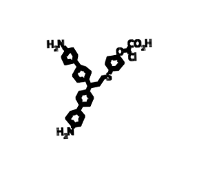 Nc1ccc(-c2ccc(C(=CCSc3ccc(OC(Cl)C(=O)O)cc3)c3ccc(-c4ccc(N)cc4)cc3)cc2)cc1